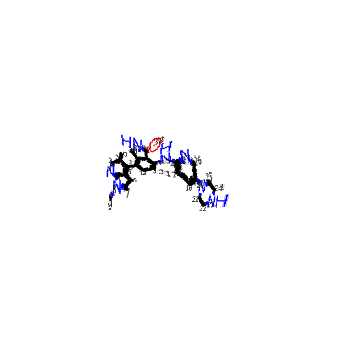 Cc1cnc2c(ccn2C)c1-c1ccc(Nc2ccc(N3CCNCC3)cn2)c2c1CNC2=O